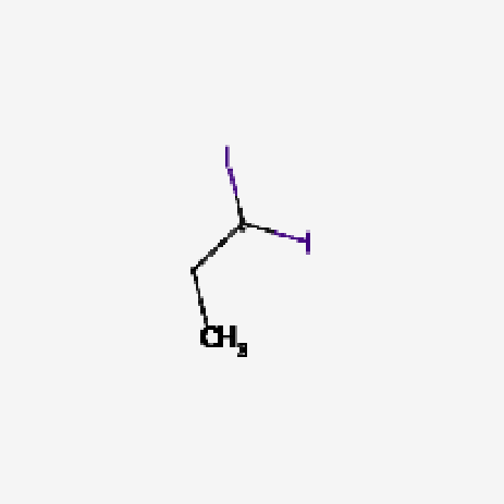 CC[C](I)I